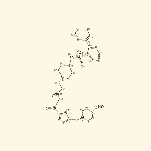 O=CN1CCN(Cc2ccc(C(=O)CNCCN3CCC(OC(=O)Nc4ccccc4-c4ccccc4)CC3)s2)CC1